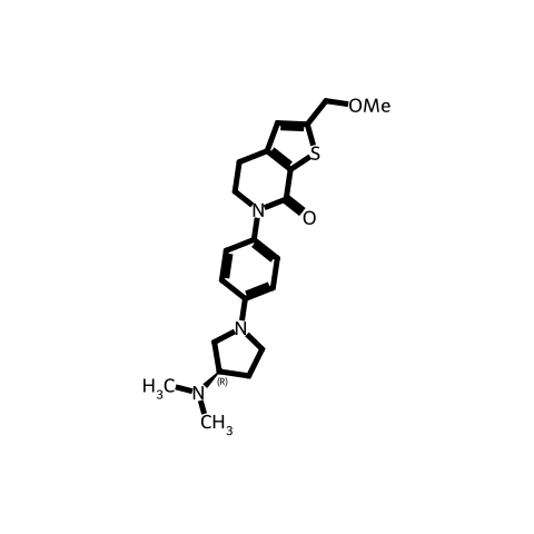 COCc1cc2c(s1)C(=O)N(c1ccc(N3CC[C@@H](N(C)C)C3)cc1)CC2